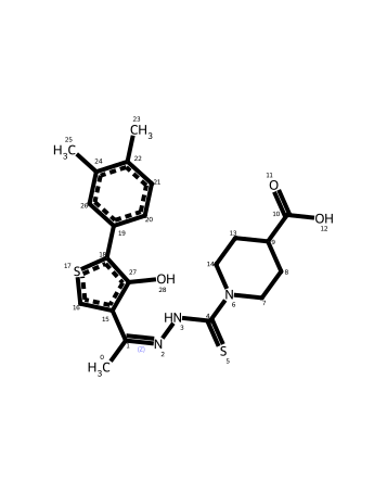 C/C(=N/NC(=S)N1CCC(C(=O)O)CC1)c1csc(-c2ccc(C)c(C)c2)c1O